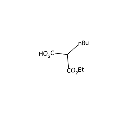 CCCCC(C(=O)O)C(=O)OCC